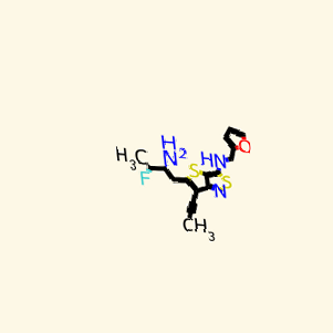 CC#Cc1c(C[C@@H](N)[C@@H](C)F)sc2c(NCc3ccco3)snc12